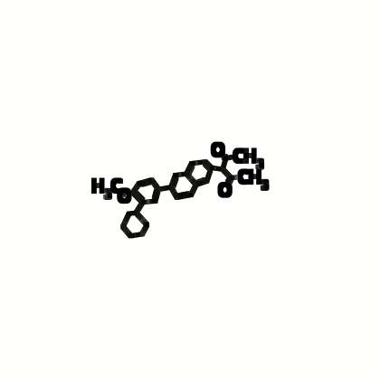 COc1ccc(-c2ccc3cc(C(C(C)=O)C(C)=O)ccc3c2)cc1C1CCCCC1